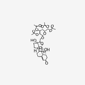 CC(=O)OC[C@H]1OC(OCC(=O)[C@@]2(O)CC[C@H]3[C@@H]4CCC5=CC(=O)CC[C@]5(C)[C@H]4[C@@H](O)C[C@@]32C)[C@H](OC(C)=O)[C@@H](OC(C)=O)[C@@H]1OC(C)=O